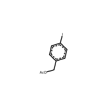 CC(=O)OCc1ccc(I)cc1